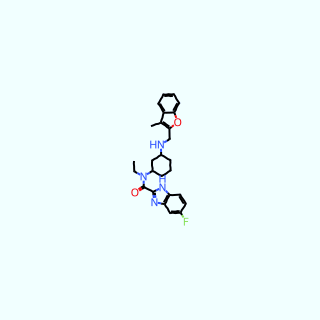 CCN(C(=O)c1nc2cc(F)ccc2[nH]1)C1CCCC(NCc2oc3ccccc3c2C)C1